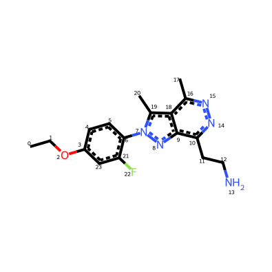 CCOc1ccc(-n2nc3c(CCN)nnc(C)c3c2C)c(F)c1